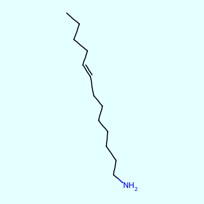 CCCCC=CCCCCCCCN